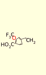 C=Cc1ccc(C(=O)O)c(OC(F)(F)F)c1